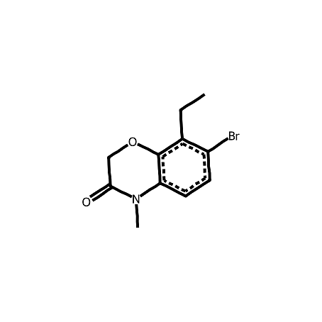 CCc1c(Br)ccc2c1OCC(=O)N2C